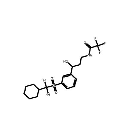 [2H]C([2H])(C1CCCCC1)S(=O)(=O)c1cccc(C(O)CCNC(=O)C(F)(F)F)c1